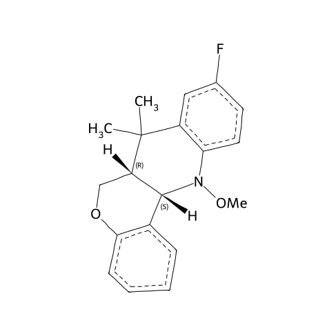 CON1c2ccc(F)cc2C(C)(C)[C@H]2COc3ccccc3[C@H]21